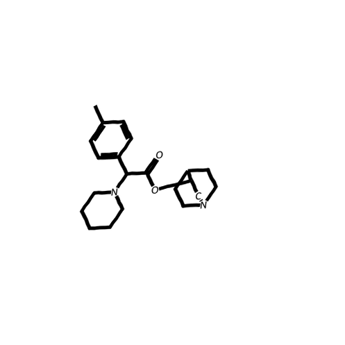 Cc1ccc(C(C(=O)OC2CN3CCC2CC3)N2CCCCC2)cc1